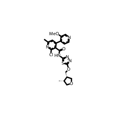 COc1cnccc1-c1cc(C)nc(Cl)c1C(=O)Nc1nnc(OC[C@@H]2COC[C@@H]2C)s1